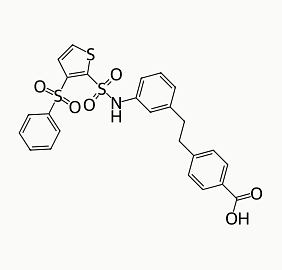 O=C(O)c1ccc(CCc2cccc(NS(=O)(=O)c3sccc3S(=O)(=O)c3ccccc3)c2)cc1